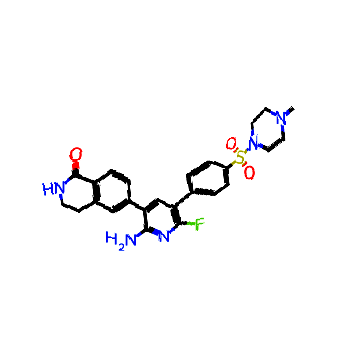 CN1CCN(S(=O)(=O)c2ccc(-c3cc(-c4ccc5c(c4)CCNC5=O)c(N)nc3F)cc2)CC1